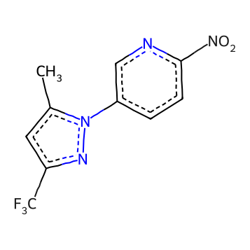 Cc1cc(C(F)(F)F)nn1-c1ccc([N+](=O)[O-])nc1